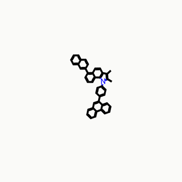 Cc1c(C)n(-c2ccc(-c3cc4ccccc4c4ccccc34)cc2)c2c1ccc1c(-c3ccc4ccccc4c3)cccc12